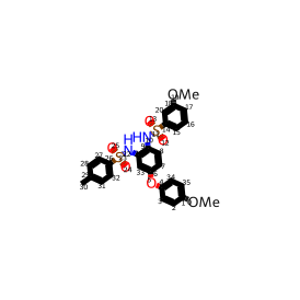 COc1ccc(Oc2ccc(NS(=O)(=O)c3cccc(OC)c3)c(NS(=O)(=O)c3ccc(C)cc3)c2)cc1